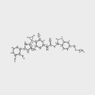 CCSc1ccc2c(c1)CCN2CC(=O)Nc1cc(Cl)c(C2(c3noc(-c4cccc(F)c4F)n3)CC2)c(Cl)c1